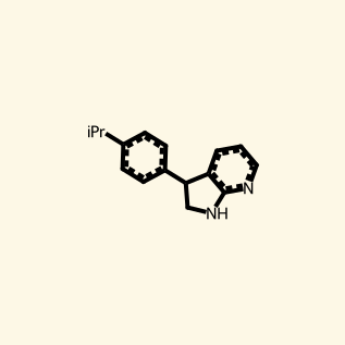 CC(C)c1ccc(C2CNc3ncccc32)cc1